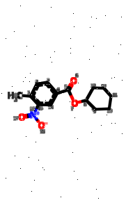 Cc1ccc(C(=O)OC2[CH]CCCC2)cc1[N+](=O)[O-]